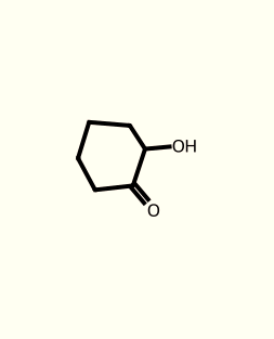 O=C1CCCCC1O